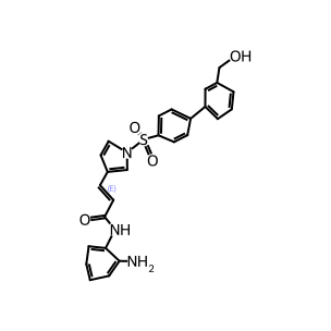 Nc1ccccc1NC(=O)/C=C/c1ccn(S(=O)(=O)c2ccc(-c3cccc(CO)c3)cc2)c1